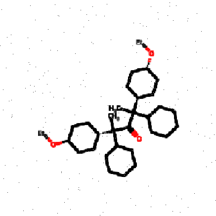 CCO[C@H]1CC[C@H](C(C)(C(=O)C(C)(C2CCCCC2)[C@H]2CC[C@H](OCC)CC2)C2CCCCC2)CC1